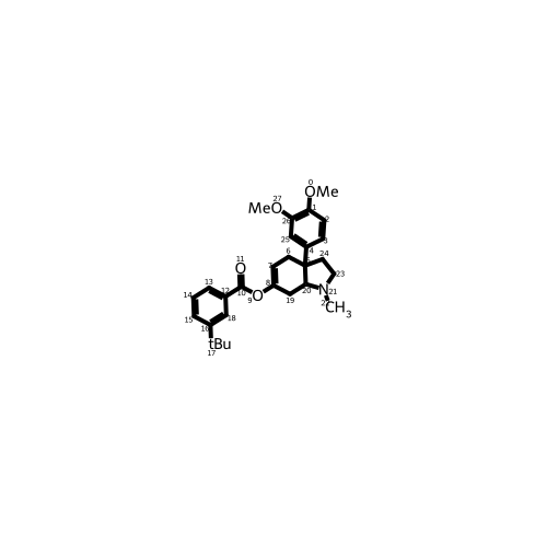 COc1ccc(C23CC=C(OC(=O)c4cccc(C(C)(C)C)c4)CC2N(C)CC3)cc1OC